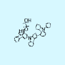 CC(C)(O)C(C)(C)OBc1cc(-n2c3ccccc3c3cc(-c4cccc5c4c4ccccc4n5-c4ccccc4)ccc32)cc2c1sc1ccccc12